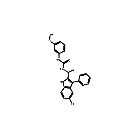 CC(C)Oc1cccc(NC(=O)NC(C)c2[nH]c3ccc(Cl)cc3c2-c2ccccc2)c1